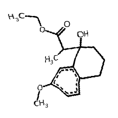 CCOC(=O)C(C)C1(O)CCCc2ccc(OC)cc21